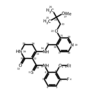 CCOc1c(F)cccc1NC(=S)C1=C(NCc2ccncc2OCC(C)(C)OC)CCNC1=O